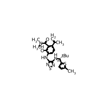 C=C(C)c1ccc(Nc2nsnc2N[C@@H](c2ccc(C)s2)C(C)(C)C)c(O)c1C(=O)N(C)C